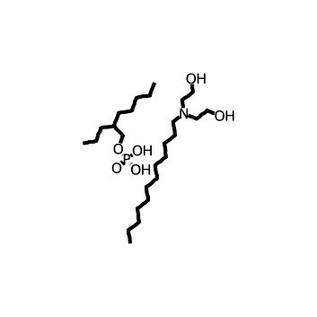 CCCCCC(CCC)COP(=O)(O)O.CCCCCCCCCCCCN(CCO)CCO